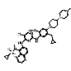 COc1cc(N2CCC(N3CCN(C)CC3)CC2)c(CC2CC2)cc1Nc1ncc(Cl)c(Nc2ccc3nccnc3c2N(C)S(=O)(=O)C2CC2)n1